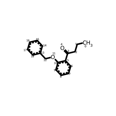 CCCC(=O)c1ccccc1OCc1ccccc1